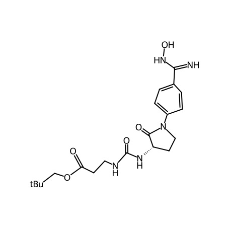 CC(C)(C)COC(=O)CCNC(=O)N[C@H]1CCN(c2ccc(C(=N)NO)cc2)C1=O